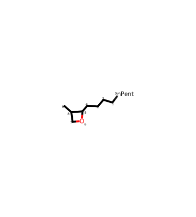 CCCCCCCCCC1OCC1C